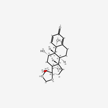 C[C@]12C=CC(=O)C=C1CC[C@@H]1[C@@H]2[C@@H](O)C[C@@]2(C)[C@H]1CC[C@@]21OCOC12COCO2